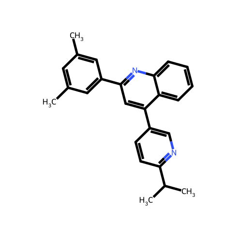 Cc1cc(C)cc(-c2cc(-c3ccc(C(C)C)nc3)c3ccccc3n2)c1